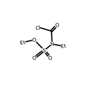 CCOS(=O)(=O)N(CC)C(=O)Cl